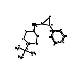 CC(C)(C)N1CCC(NC2CC2c2ccccc2)CC1